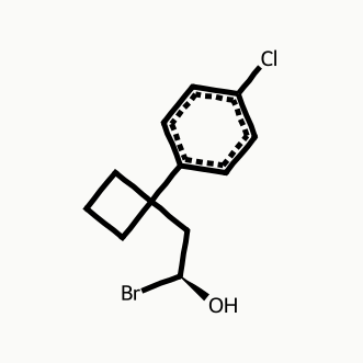 O[C@@H](Br)CC1(c2ccc(Cl)cc2)CCC1